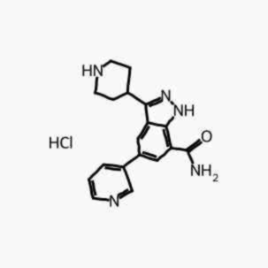 Cl.NC(=O)c1cc(-c2cccnc2)cc2c(C3CCNCC3)n[nH]c12